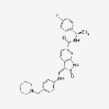 C[C@@H](NC(=O)c1ccc2c(c1)NC(=O)/C2=C\Nc1ccc(CN2CCCCC2)cc1)c1ccc(F)cc1